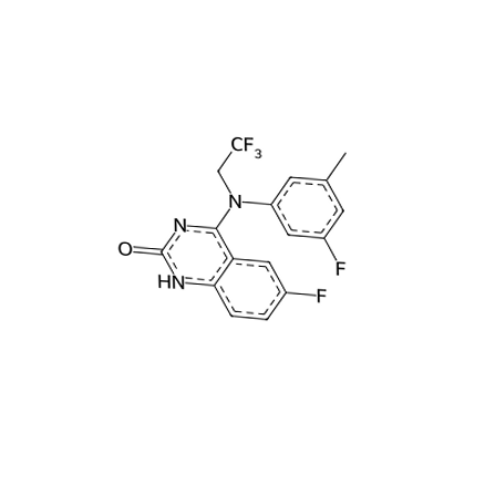 Cc1cc(F)cc(N(CC(F)(F)F)c2nc(=O)[nH]c3ccc(F)cc23)c1